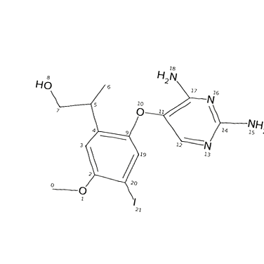 COc1cc(C(C)CO)c(Oc2cnc(N)nc2N)cc1I